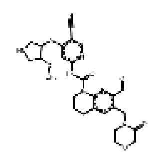 COC1CNCC1Nc1cc(NC(=O)N2CCCc3cc(CN4CCOCC4=O)c(C=O)nc32)ncc1C#N